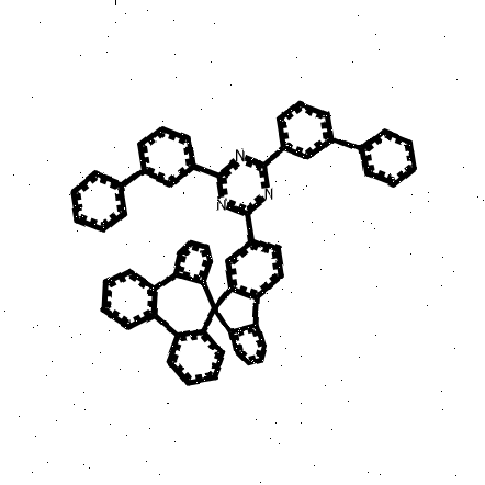 c1ccc(-c2cccc(-c3nc(-c4cccc(-c5ccccc5)c4)nc(-c4ccc5c(c4)C4(c6ccccc6-c6ccccc6-c6ccccc64)c4ccccc4-5)n3)c2)cc1